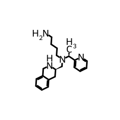 C[C@@H](c1ccccn1)N(CCCCN)C[C@H]1Cc2ccccc2CN1